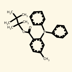 Cc1ccc(C(=O)OC(C)(C)C(C)(C)C)c(P(c2ccccc2)c2ccccc2)c1